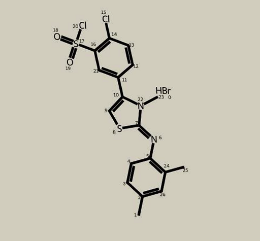 Br.Cc1ccc(N=c2scc(-c3ccc(Cl)c(S(=O)(=O)Cl)c3)n2C)c(C)c1